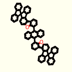 c1ccc2c(c1)-c1ccccc1C21c2ccccc2-c2c1ccc1oc3c(-c4c5ccccc5c(-c5cccc6c5oc5ccc7c(c56)-c5ccccc5C75c6ccccc6-c6ccccc65)c5ccccc45)cccc3c21